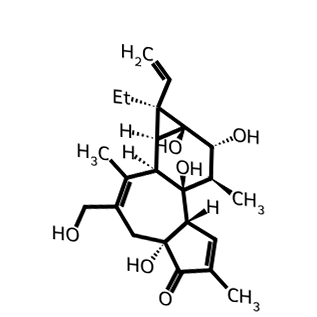 C=C[C@]1(CC)[C@@H]2[C@@H]3C(C)=C(CO)C[C@]4(O)C(=O)C(C)=C[C@H]4[C@@]3(O)[C@H](C)[C@@H](O)[C@]21O